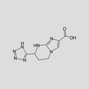 O=C(O)c1cn2c(n1)NC(c1nnn[nH]1)CC2